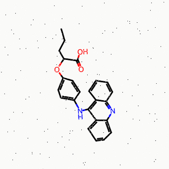 CCCC(Oc1ccc(Nc2c3ccccc3nc3ccccc23)cc1)C(=O)O